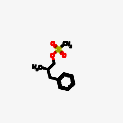 C[C@@H](COS(C)(=O)=O)Cc1ccccc1